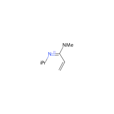 C=C/C(=N\C(C)C)NC